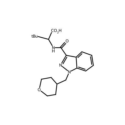 CC(C)(C)C(NC(=O)c1nn(CC2CCOCC2)c2ccccc12)C(=O)O